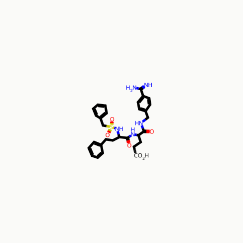 N=C(N)c1ccc(CNC(=O)C(CCC(=O)O)NC(=O)C(CCc2ccccc2)NS(=O)(=O)Cc2ccccc2)cc1